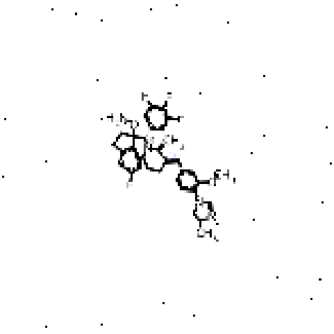 C=C1/C(=C/c2ccc(N3C=NC(C)C3)c(OC)c2)CCCN1[C@@H](c1cc(F)c(F)c(F)c1)C1(ON)CCc2cc(F)ccc21